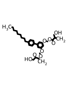 C=C(CO)C(=O)OCOc1cc(OCOC(=C)C(=O)CO)cc(-c2ccc(CCCCCCCCC)cc2)c1